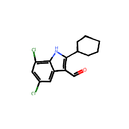 O=Cc1c(C2CCCCC2)[nH]c2c(Cl)cc(Cl)cc12